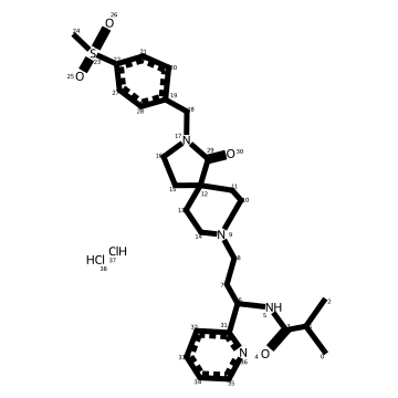 CC(C)C(=O)NC(CCN1CCC2(CC1)CCN(Cc1ccc(S(C)(=O)=O)cc1)C2=O)c1ccccn1.Cl.Cl